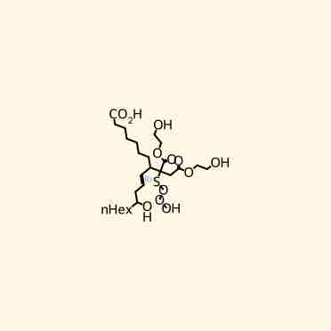 CCCCCCC(O)C/C=C/C(CCCCCCC(=O)O)C(CC(=O)OCCO)(SOOO)C(=O)OCCO